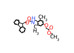 CCOC(=O)COc1cc(C)c(CNC(=O)OCC2c3ccccc3-c3ccccc32)c(C)c1